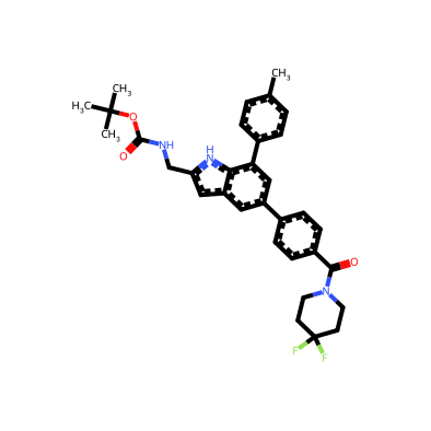 Cc1ccc(-c2cc(-c3ccc(C(=O)N4CCC(F)(F)CC4)cc3)cc3cc(CNC(=O)OC(C)(C)C)[nH]c23)cc1